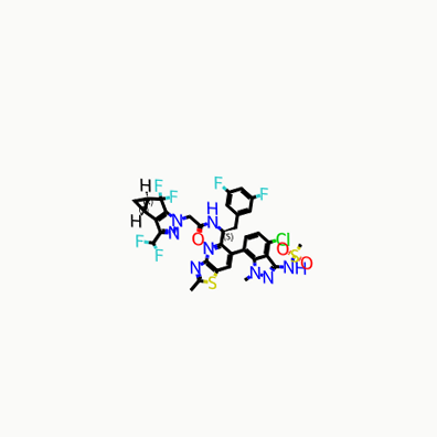 Cc1nc2nc([C@H](Cc3cc(F)cc(F)c3)NC(=O)Cn3nc(C(F)F)c4c3C(F)(F)[C@@H]3C[C@H]43)c(-c3ccc(Cl)c4c(NS(C)(=O)=O)nn(C)c34)cc2s1